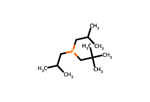 CC(C)CP(CC(C)C)CC(C)(C)C